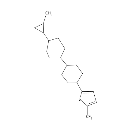 CC1CC1C1CCC(C2CCC(c3ccc(C(F)(F)F)s3)CC2)CC1